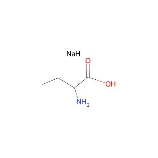 CCC(N)C(=O)O.[NaH]